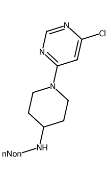 CCCCCCCCCNC1CCN(c2cc(Cl)ncn2)CC1